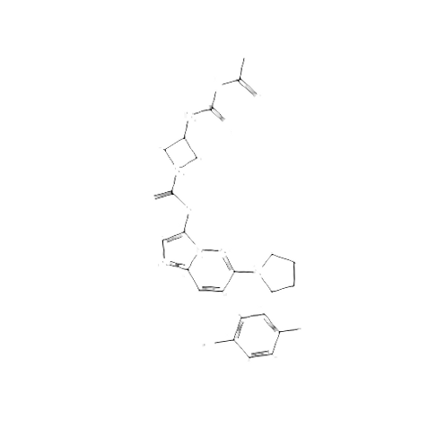 C=C(C)OC(=O)NC1CN(C(=O)Nc2cnc3ccc(N4CCC[C@@H]4c4cc(F)ccc4F)nn23)C1